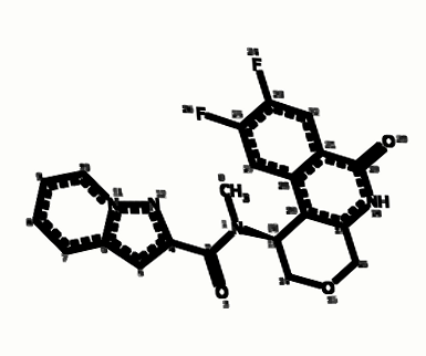 CN(C(=O)c1cc2ccccn2n1)[C@@H]1COCc2[nH]c(=O)c3cc(F)c(F)cc3c21